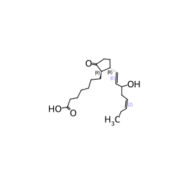 CC/C=C\CC(O)/C=C/[C@H]1CCC(=O)[C@@H]1CCCCCCC(=O)O